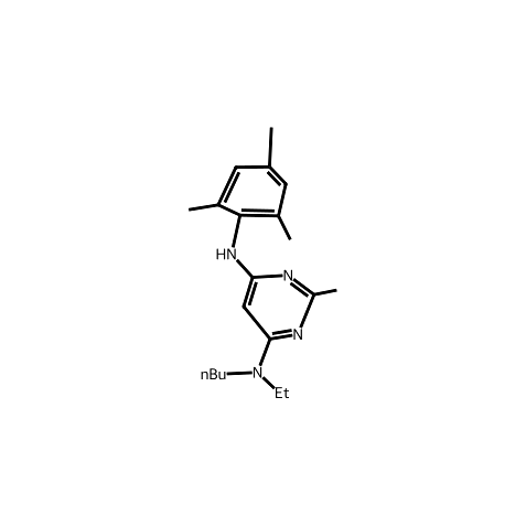 CCCCN(CC)c1cc(Nc2c(C)cc(C)cc2C)nc(C)n1